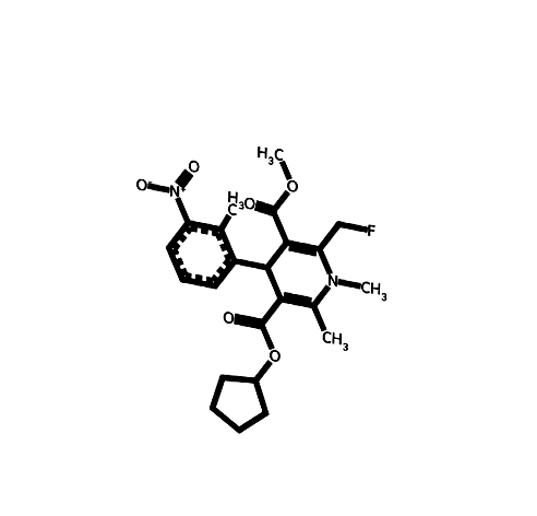 COC(=O)C1=C(CF)N(C)C(C)=C(C(=O)OC2CCCC2)C1c1cccc([N+](=O)[O-])c1C